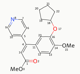 COC(=O)C=C(c1ccncc1)c1ccc(OC)c(OC2CCCC2)c1